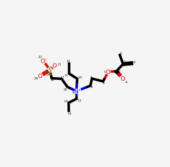 C=C(C)C(=O)OCCC[N+](CCC)(CCC)CCCS(=O)(=O)[O-]